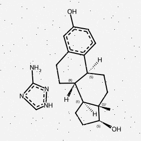 C[C@]12CC[C@@H]3c4ccc(O)cc4CC[C@H]3[C@@H]1CC[C@@H]2O.Nc1nc[nH]n1